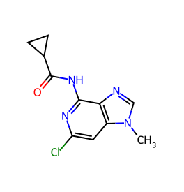 Cn1cnc2c(NC(=O)C3CC3)nc(Cl)cc21